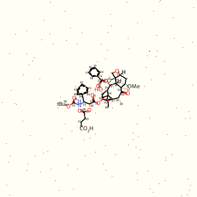 CO[C@H]1C[C@H]2OC[C@@]2(OC(C)=O)[C@H]2[C@H](OC(=O)c3ccccc3)[C@]3(O)C[C@H](OC(=O)[C@H](OC(=O)CCC(=O)O)[C@@H](NC(=O)OC(C)(C)C)c4ccccc4)C(C)=C([C@@H](C)C(=O)[C@]12C)C3(C)C